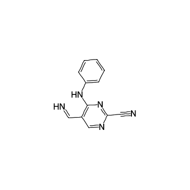 N#Cc1ncc(C=N)c(Nc2ccccc2)n1